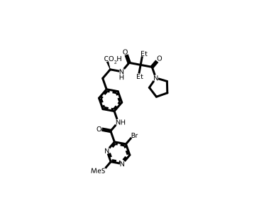 CCC(CC)(C(=O)N[C@@H](Cc1ccc(NC(=O)c2nc(SC)ncc2Br)cc1)C(=O)O)C(=O)N1CCCC1